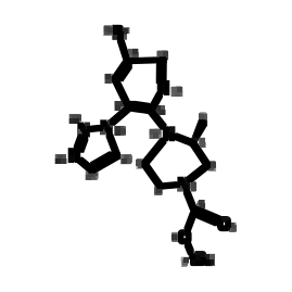 C[C@H]1CN(C(=O)OC(C)(C)C)CCN1c1ncc(Br)cc1-n1ccnn1